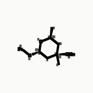 CO[C@]1(C)C[C@H](OC(C)C)O[C@@H](C)C1